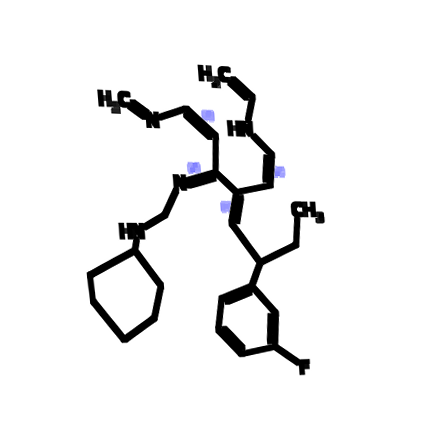 C=CN\C=C/C(=C\C(CC)c1cccc(F)c1)C(/C=C\N=C)=N\CNC1CCCCC1